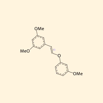 COc1cc(/C=C/Oc2cccc(OC)c2)cc(OC)c1